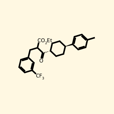 CCOC(=O)C(Cc1cccc(C(F)(F)F)c1)C(=O)[C@H]1CC[C@H](c2ccc(C)cc2)CC1